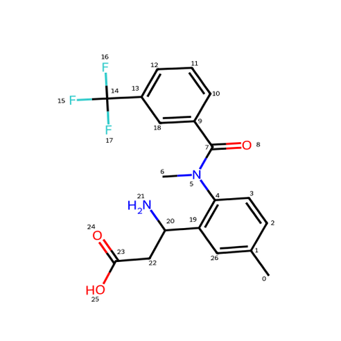 Cc1ccc(N(C)C(=O)c2cccc(C(F)(F)F)c2)c(C(N)CC(=O)O)c1